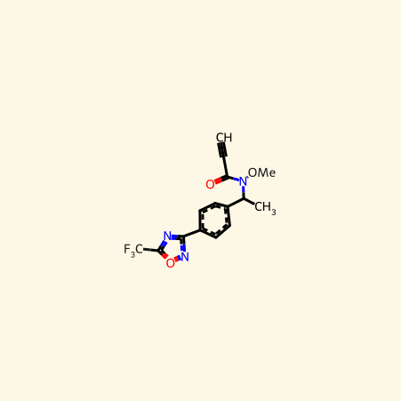 C#CC(=O)N(OC)C(C)c1ccc(-c2noc(C(F)(F)F)n2)cc1